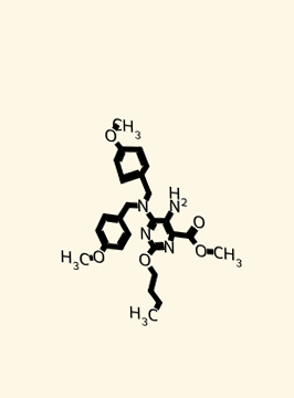 CCCCOc1nc(C(=O)OC)c(N)c(N(Cc2ccc(OC)cc2)Cc2ccc(OC)cc2)n1